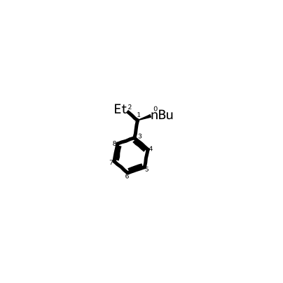 CCCC[C@H](CC)c1ccccc1